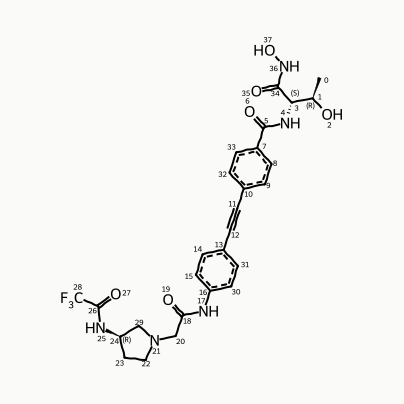 C[C@@H](O)[C@H](NC(=O)c1ccc(C#Cc2ccc(NC(=O)CN3CC[C@@H](NC(=O)C(F)(F)F)C3)cc2)cc1)C(=O)NO